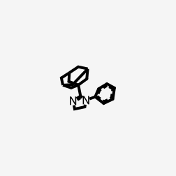 c1ccc(N2CCN=C2C23CC4CC(CC(C4)C2)C3)cc1